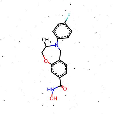 C[C@@H]1COc2cc(C(=O)NO)ccc2CN1c1ccc(F)cc1